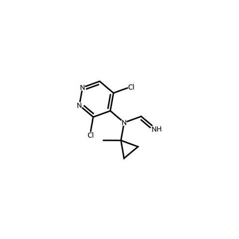 CC1(N(C=N)c2c(Cl)cnnc2Cl)CC1